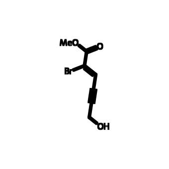 COC(=O)/C(Br)=C/C#CCO